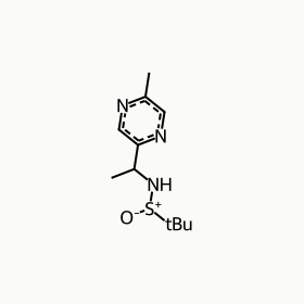 Cc1cnc(C(C)N[S+]([O-])C(C)(C)C)cn1